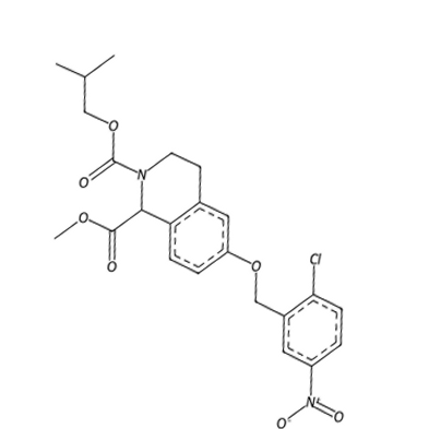 COC(=O)C1c2ccc(OCc3cc([N+](=O)[O-])ccc3Cl)cc2CCN1C(=O)OCC(C)C